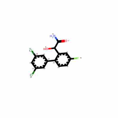 NC(=O)C(O)c1cc(F)ccc1-c1cc(Cl)cc(Cl)c1